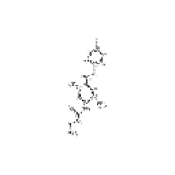 CCOC(=O)Nc1cc(C)c(NCc2ccc(F)cc2)cc1N